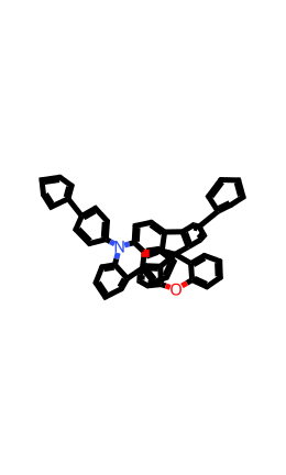 c1ccc(-c2ccc(N(c3ccc4c(c3)C3(c5ccccc5Oc5ccccc53)c3ccc(-c5ccccc5)cc3-4)c3ccccc3-c3ccccc3)cc2)cc1